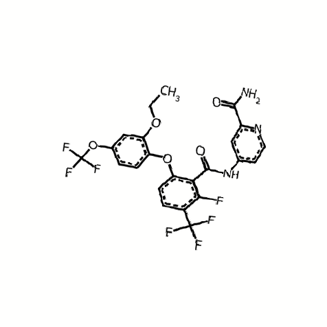 CCOc1cc(OC(F)(F)F)ccc1Oc1ccc(C(F)(F)F)c(F)c1C(=O)Nc1ccnc(C(N)=O)c1